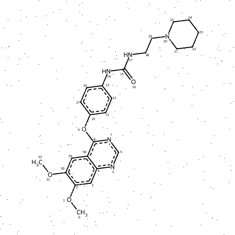 COc1cc2ncnc(Oc3ccc(NC(=O)NCCN4CCCCC4)cc3)c2cc1OC